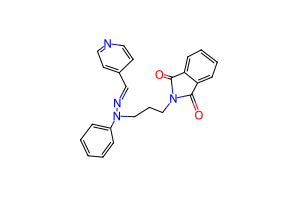 O=C1c2ccccc2C(=O)N1CCCN(N=Cc1ccncc1)c1ccccc1